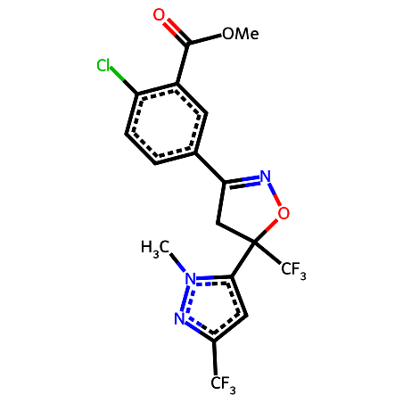 COC(=O)c1cc(C2=NOC(c3cc(C(F)(F)F)nn3C)(C(F)(F)F)C2)ccc1Cl